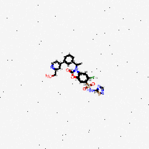 CC(c1cccc(-c2ccnc(CO)c2)c1)n1c(=O)oc2cc(S(=O)(=O)Nc3ncns3)c(F)cc21